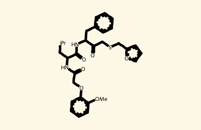 COc1ccccc1OCC(=O)NC(CC(C)C)C(=O)NC(Cc1ccccc1)C(=O)CSCc1ccco1